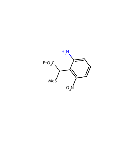 CCOC(=O)C(SC)c1c(N)cccc1[N+](=O)[O-]